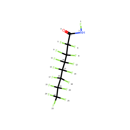 O=C(NF)C(F)(F)C(F)(F)C(F)(F)C(F)(F)C(F)(F)C(F)(F)C(F)(F)F